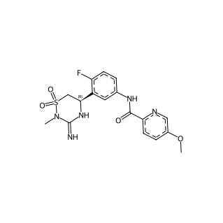 COc1ccc(C(=O)Nc2ccc(F)c([C@@H]3CS(=O)(=O)N(C)C(=N)N3)c2)nc1